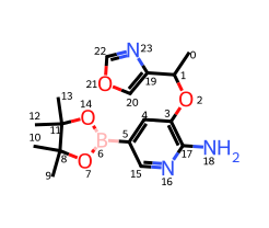 CC(Oc1cc(B2OC(C)(C)C(C)(C)O2)cnc1N)c1cocn1